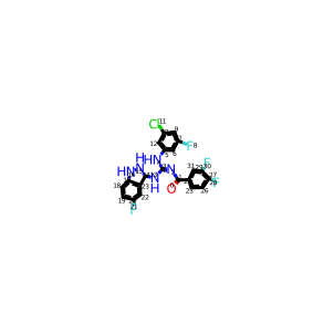 O=C(/N=C(/Nc1cc(F)cc(Cl)c1)NC1NNc2ccc(F)cc21)c1ccc(F)c(F)c1